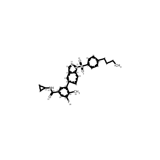 CCCCc1ccc(S(=O)(=O)n2ncc3cc(-c4cc(C(=O)NC5CC5)cc(F)c4C)ccc32)cc1